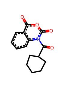 O=C(C1CCCCC1)n1c(=O)oc(=O)c2ccccc21